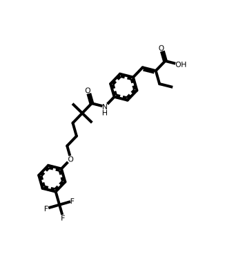 CC/C(=C\c1ccc(NC(=O)C(C)(C)CCCOc2cccc(C(F)(F)F)c2)cc1)C(=O)O